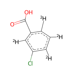 [2H]c1c([2H])c(Cl)c([2H])c(C(=O)O)c1[2H]